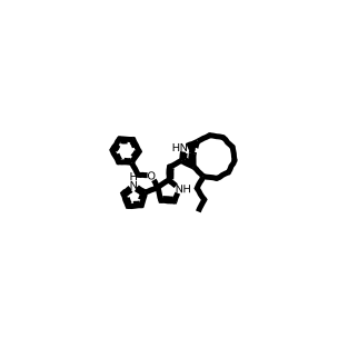 CCCC1CCCCCCc2cc1c(C=C1NC=CC1(OCc1ccccc1)c1ccc[nH]1)[nH]2